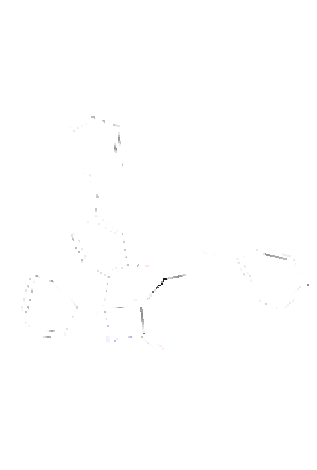 O=C1N[C@@](c2ccccc2)(c2ccc(-c3cccc(S(=O)(=O)O)c3)cc2O)[C@H]1CC[C@H](O)c1ccccc1